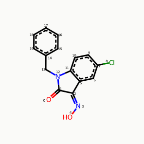 O=C1/C(=N\O)c2cc(Cl)ccc2N1Cc1ccccc1